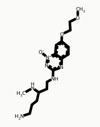 CNC(CCCN)CCNc1nc2ccc(OCCOC)cc2[n+]([O-])n1